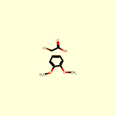 COc1ccccc1OC.O=C(O)CS